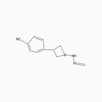 C=NNN1CC(c2ccc(C#N)cc2)C1